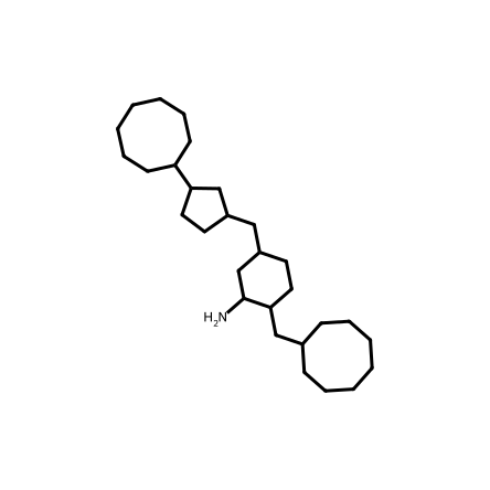 NC1CC(CC2CCC(C3CCCCCCC3)C2)CCC1CC1CCCCCCC1